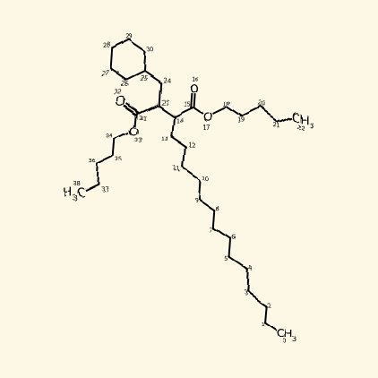 CCCCCCCCCCCCCCC(C(=O)OCCCCC)C(CC1CCCCC1)C(=O)OCCCCC